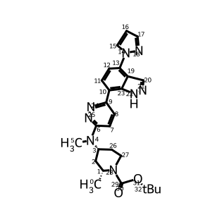 C[C@@H]1C[C@H](N(C)c2ccc(-c3ccc(-n4cccn4)c4cn[nH]c34)nn2)CCN1C(=O)OC(C)(C)C